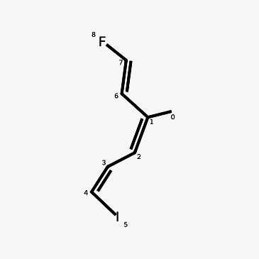 CC(=C/C=C\I)/C=C/F